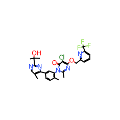 Cc1ccc(-c2nc(C(C)(C)O)ncc2C)cc1-n1c(C)nc(OCc2cccc(C(F)(F)F)n2)c(Cl)c1=O